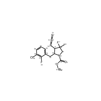 CC(C)(C)OC(=O)N1CC(F)(F)C(N=[N+]=[N-])C1Cc1cccc(Cl)c1F